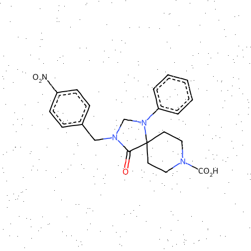 O=C(O)N1CCC2(CC1)C(=O)N(Cc1ccc([N+](=O)[O-])cc1)CN2c1ccccc1